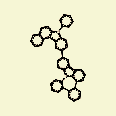 c1ccc(-n2c3ccc(-c4ccc5c(c4)c4cccc6c4n5-c4ccccc4-c4ccccc4-6)cc3c3c4ccccc4ccc32)cc1